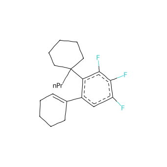 CCCC1(c2c(C3=CCCCC3)cc(F)c(F)c2F)CCCCC1